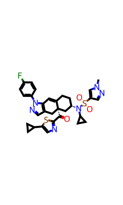 Cn1cc(S(=O)(=O)N(C2CC2)[C@H]2CCC3=Cc4c(cnn4-c4ccc(F)cc4)C[C@]3(C(=O)c3ncc(C4CC4)s3)C2)cn1